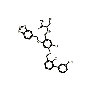 O=C(O)C(CO)NCc1cc(Cl)c(OCc2cccc(-c3cccc(O)c3)c2Cl)cc1OCc1ccc2nonc2c1